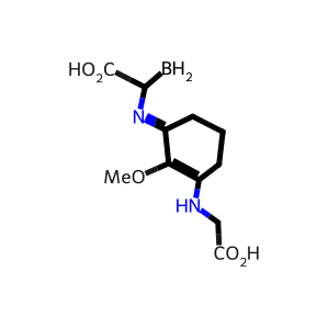 BC(/N=C1\CCCC(NCC(=O)O)=C1OC)C(=O)O